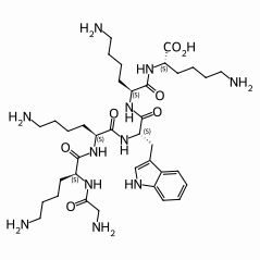 NCCCC[C@H](NC(=O)[C@H](CCCCN)NC(=O)[C@H](Cc1c[nH]c2ccccc12)NC(=O)[C@H](CCCCN)NC(=O)[C@H](CCCCN)NC(=O)CN)C(=O)O